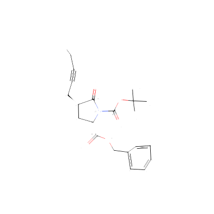 CCC#CC[C@@H]1C[C@@H](C(=O)OCc2ccccc2)N(C(=O)OC(C)(C)C)C1=O